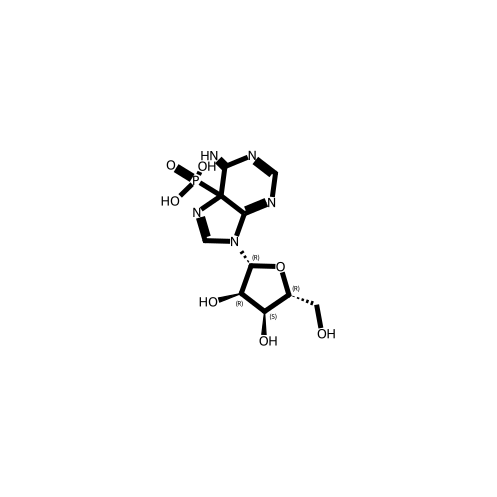 N=C1N=CN=C2N([C@@H]3O[C@H](CO)[C@@H](O)[C@H]3O)C=NC12P(=O)(O)O